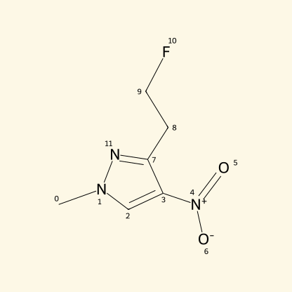 Cn1cc([N+](=O)[O-])c(CCF)n1